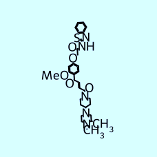 COc1cc(OCC(=O)Nc2nc3ccccc3s2)ccc1C(=O)C=CC(=O)N1CCC(N2CCN(C)C(C)C2)CC1